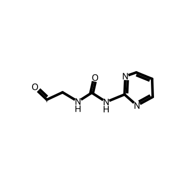 O=[C]CNC(=O)Nc1ncccn1